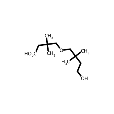 CC(C)(CCO)COCC(C)(C)CC(=O)O